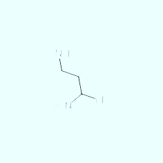 CCCC(N)CC[NH]